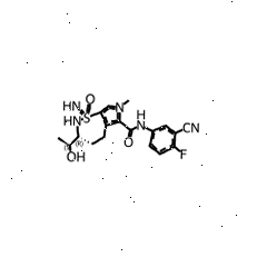 C[C@H](O)[C@H]1CCc2c(cn(C)c2C(=O)Nc2ccc(F)c(C#N)c2)S(=N)(=O)N1